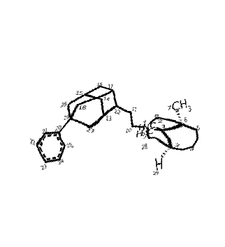 CC1(C)[C@H]2CC[C@]1(C)CN(CCC1C3CC4CC1CC(c1ccccc1)(C4)C3)C2